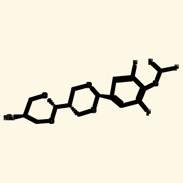 CCCC[C@H]1CO[C@H]([C@H]2CO[C@H](c3cc(F)c(OC(F)F)c(F)c3)OC2)OC1